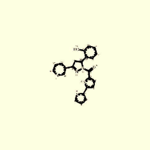 O=C(c1ccc(-c2cccs2)s1)N1N=C(c2cccnc2)CC1c1ccccc1O